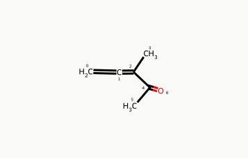 C=C=C(C)C(C)=O